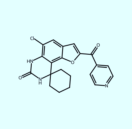 O=C1Nc2c(Cl)cc3cc(C(=O)c4ccncc4)oc3c2C2(CCCCC2)N1